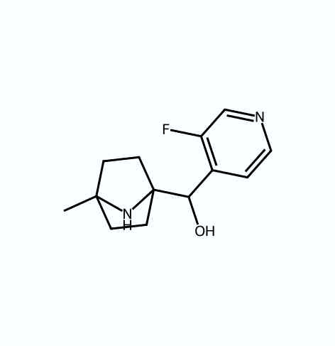 CC12CCC(C(O)c3ccncc3F)(CC1)N2